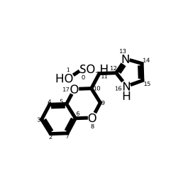 O=S(=O)(O)O.c1ccc2c(c1)OCC(Cc1ncc[nH]1)O2